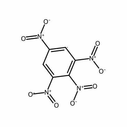 O=[N+]([O-])c1[c]c([N+](=O)[O-])c([N+](=O)[O-])c([N+](=O)[O-])c1